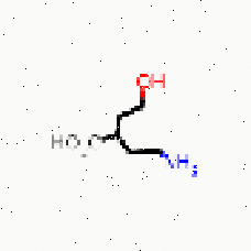 NCCC(CCO)C(=O)O